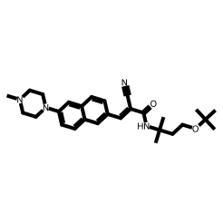 CN1CCN(c2ccc3cc(/C=C(\C#N)C(=O)NC(C)(C)CCOC(C)(C)C)ccc3c2)CC1